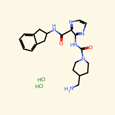 Cl.Cl.NCC1CCN(C(=O)Nc2nccnc2C(=O)NC2Cc3ccccc3C2)CC1